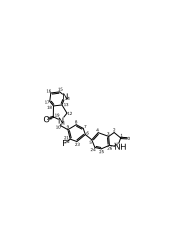 C=C1Cc2cc(-c3ccc(CN4Cc5ncccc5C4=O)c(F)c3)ccc2N1